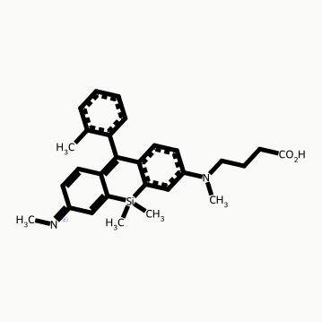 C/N=C1\C=CC2=C(c3ccccc3C)c3ccc(N(C)CCCC(=O)O)cc3[Si](C)(C)C2=C1